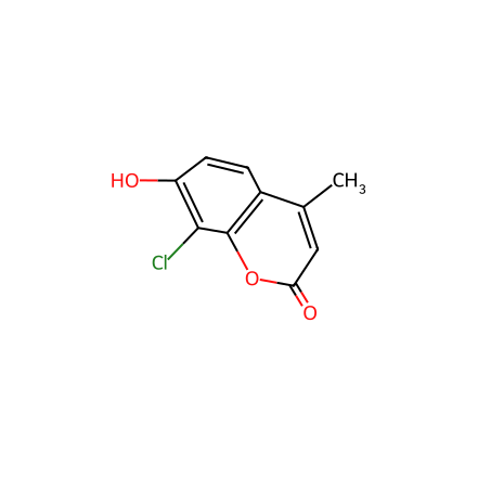 Cc1cc(=O)oc2c(Cl)c(O)ccc12